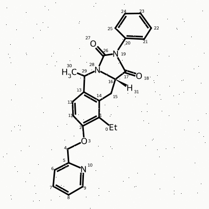 CCc1c(OCc2ccccn2)ccc2c1C[C@H]1C(=O)N(c3ccccc3)C(=O)N1C2C